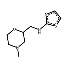 CN1CCOC(CNc2nccs2)C1